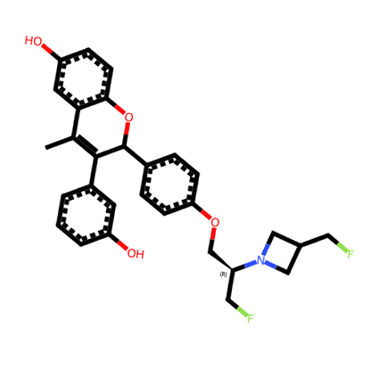 CC1=C(c2cccc(O)c2)C(c2ccc(OC[C@H](CF)N3CC(CF)C3)cc2)Oc2ccc(O)cc21